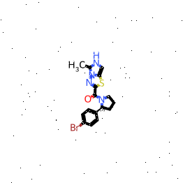 CC1NC=C2SC(C(=O)N3CCC[C@H]3c3ccc(Br)cc3)=NN21